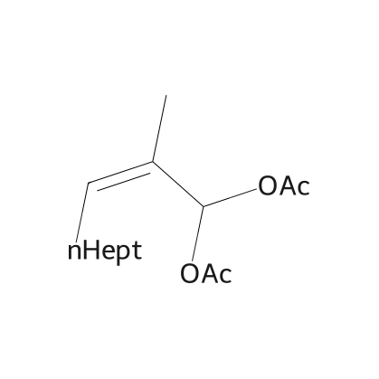 CCCCCCCC=C(C)C(OC(C)=O)OC(C)=O